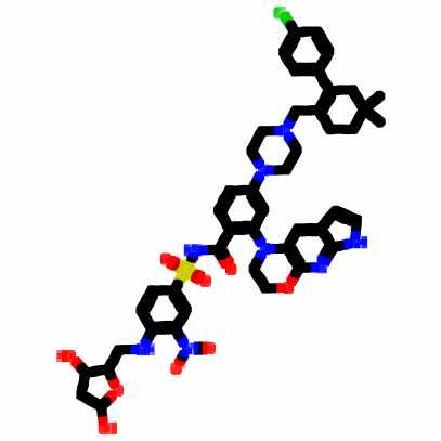 CC1(C)CCC(CN2CCN(c3ccc(C(=O)NS(=O)(=O)c4ccc(NCC5OC(O)CC5O)c([N+](=O)[O-])c4)c(N4CCOc5nc6[nH]ccc6cc54)c3)CC2)=C(c2ccc(Cl)cc2)C1